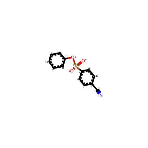 N#Cc1ccc(S(=O)(=O)Oc2ccccc2)cc1